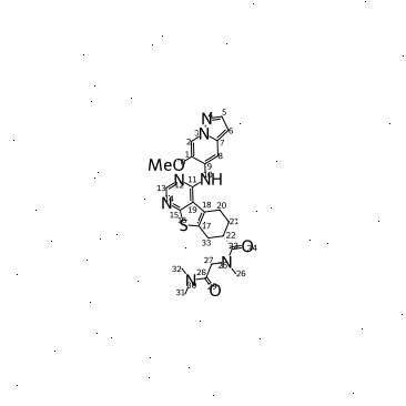 COc1cn2nccc2cc1Nc1ncnc2sc3c(c12)CC[C@H](C(=O)N(C)CC(=O)N(C)C)C3